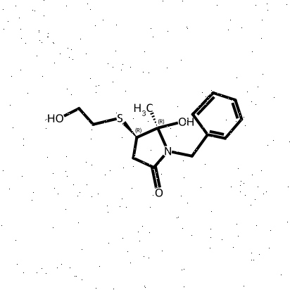 C[C@@]1(O)[C@H](SCCO)CC(=O)N1Cc1ccccc1